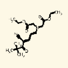 CCOC(=O)CN(/C=C/C=C(\C#N)C(=O)C(C)(C)C)CC(=O)OCC